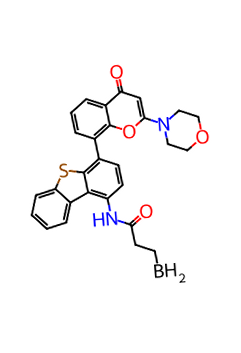 BCCC(=O)Nc1ccc(-c2cccc3c(=O)cc(N4CCOCC4)oc23)c2sc3ccccc3c12